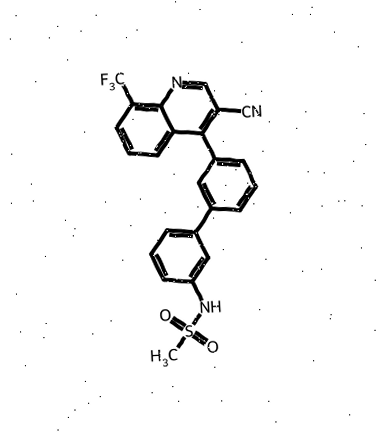 CS(=O)(=O)Nc1cccc(-c2cccc(-c3c(C#N)cnc4c(C(F)(F)F)cccc34)c2)c1